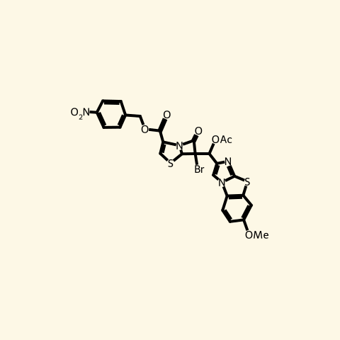 COc1ccc2c(c1)sc1nc(C(OC(C)=O)C3(Br)C(=O)N4C(C(=O)OCc5ccc([N+](=O)[O-])cc5)=CSC43)cn12